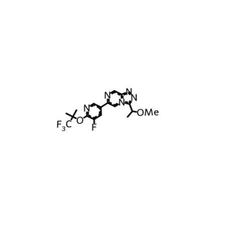 COC(C)c1nnc2cnc(-c3cnc(OC(C)(C)C(F)(F)F)c(F)c3)cn12